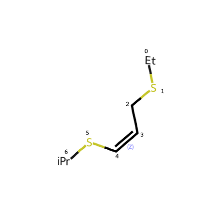 CCSC/C=C\SC(C)C